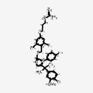 COc1cc(C(C)(C)c2cnc(SCc3c(F)cc(OCCCNC(=N)N)cc3Cl)n2-c2ccc(F)cc2)ccc1Cl